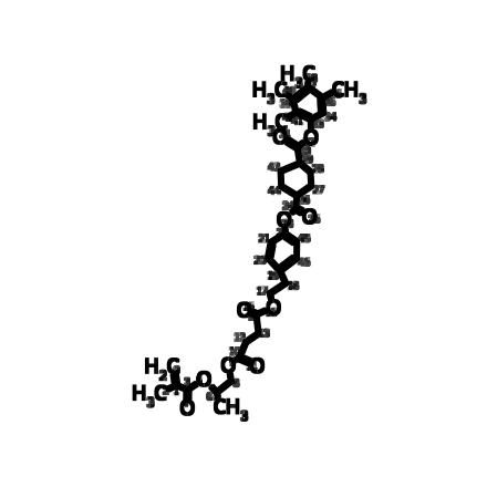 C=C(C)C(=O)OC(C)COC(=O)CCC(=O)OCCc1ccc(OC(=O)C2CCC(C(=O)Oc3cc(C)c(C)c(C)c3C)CC2)cc1